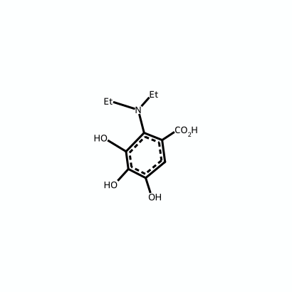 CCN(CC)c1c(C(=O)O)cc(O)c(O)c1O